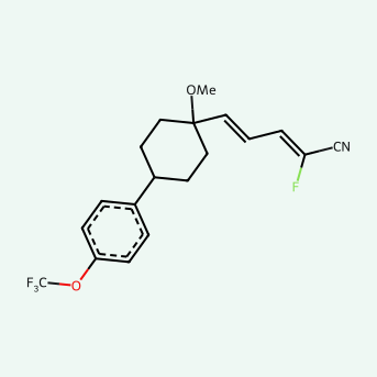 COC1(C=CC=C(F)C#N)CCC(c2ccc(OC(F)(F)F)cc2)CC1